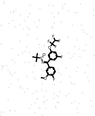 COc1cc(C(=N[S+]([O-])C(C)(C)C)c2cc(F)cc(OC(F)(F)C(F)F)c2)ccc1F